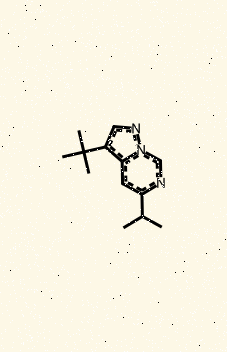 CC(C)c1cc2c(C(C)(C)C)cnn2cn1